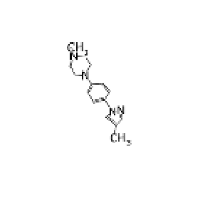 Cc1cnn(-c2ccc(N3CCN(C)CC3)cc2)c1